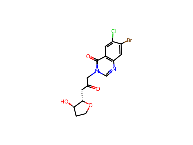 O=C(C[C@@H]1OCC[C@H]1O)Cn1cnc2cc(Br)c(Cl)cc2c1=O